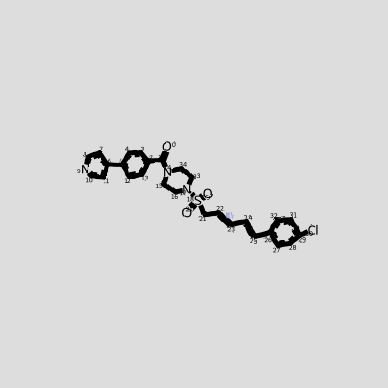 O=C(c1ccc(-c2ccncc2)cc1)N1CCN(S(=O)(=O)C/C=C/C=Cc2ccc(Cl)cc2)CC1